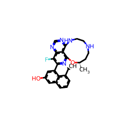 C#Cc1cccc2cc(O)cc(-c3nc4c5c(ncnc5c3F)NCCNCC[C@H](C)O4)c12